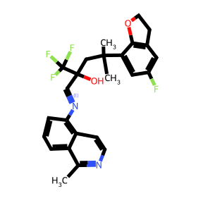 Cc1nccc2c(/N=C/C(O)(CC(C)(C)c3cc(F)cc4c3OCC4)C(F)(F)F)cccc12